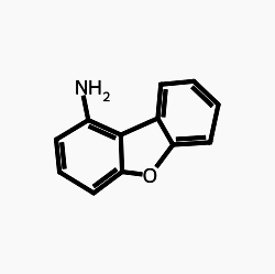 Nc1cccc2oc3ccccc3c12